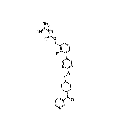 N=C(N)NC(=O)OCc1cccc(-c2cnc(OCC3CCN(C(=O)c4cccnc4)CC3)nc2)c1F